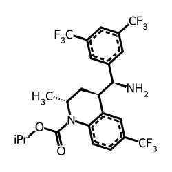 CC(C)OC(=O)N1c2ccc(C(F)(F)F)cc2[C@H]([C@H](N)c2cc(C(F)(F)F)cc(C(F)(F)F)c2)C[C@H]1C